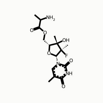 Cc1cn([C@@H]2O[C@H](COC(=O)C(C)N)[C@](C)(O)[C@@]2(C)F)c(=O)[nH]c1=O